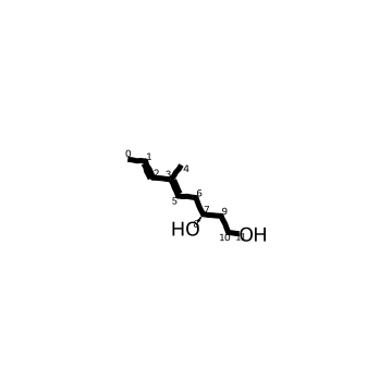 C/C=C/C(C)=C/C[C@@H](O)CCO